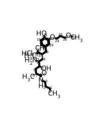 CCCCNC(=O)[C@H](C)C[C@H](O)[C@@H](N)C[C@H](Cc1ccc(O)c(OCCCOC)c1)C(C)C.Cl